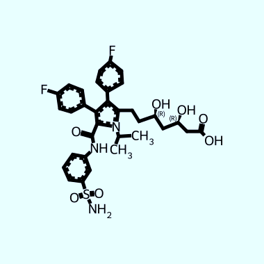 CC(C)n1c(CC[C@@H](O)C[C@@H](O)CC(=O)O)c(-c2ccc(F)cc2)c(-c2ccc(F)cc2)c1C(=O)Nc1cccc(S(N)(=O)=O)c1